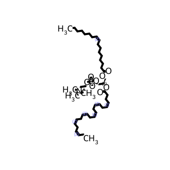 CC/C=C\C/C=C\C/C=C\C/C=C\C/C=C\C/C=C\CCC(=O)O[C@H](COC(=O)CCCCCCC/C=C\CCCCCCC)COP(=O)([O-])OCC[N+](C)(C)C